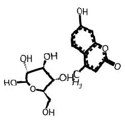 Cc1cc(=O)oc2cc(O)ccc12.OC[C@H]1OC(O)[C@H](O)[C@@H](O)[C@@H]1O